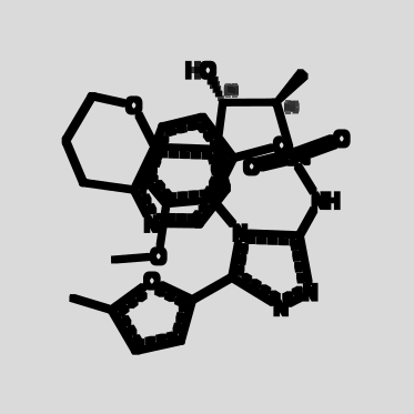 COc1cccc(OC)c1-n1c(NS(=O)(=O)[C@H](C)[C@@H](O)c2ccnc3c2OCCC3)nnc1-c1ccc(C)o1